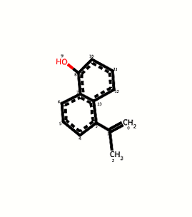 C=C(C)c1cccc2c(O)cccc12